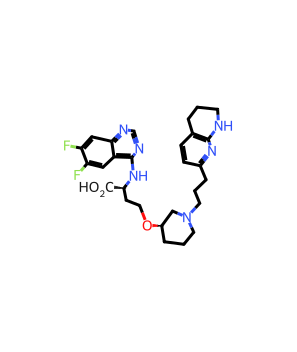 O=C(O)[C@H](CCO[C@@H]1CCCN(CCCc2ccc3c(n2)NCCC3)C1)Nc1ncnc2cc(F)c(F)cc12